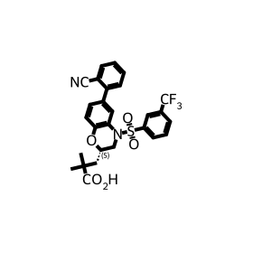 CC(C)(C[C@H]1CN(S(=O)(=O)c2cccc(C(F)(F)F)c2)c2cc(-c3ccccc3C#N)ccc2O1)C(=O)O